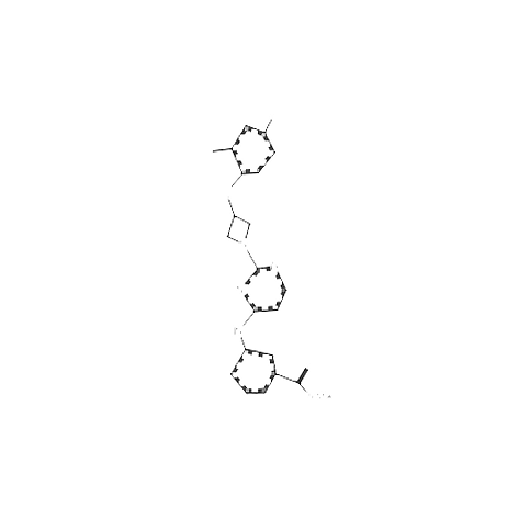 CNC(=O)c1cccc(Nc2ccnc(N3CC(Oc4ccc(Cl)cc4F)C3)n2)c1